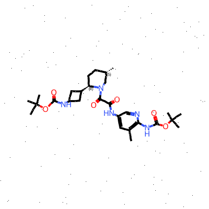 Cc1cc(NC(=O)C(=O)N2C[C@@H](C)CC[C@@H]2C2CC(NC(=O)OC(C)(C)C)C2)cnc1NC(=O)OC(C)(C)C